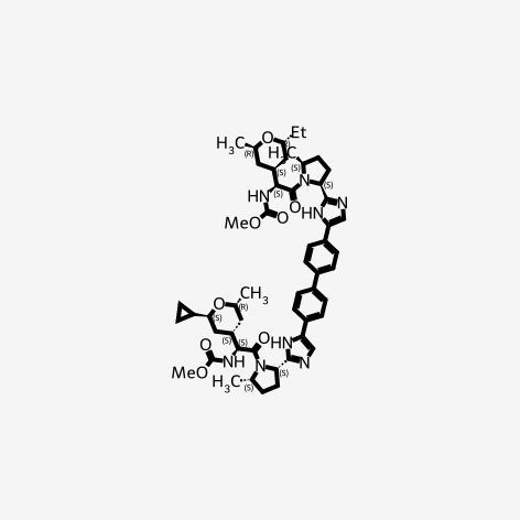 CC[C@@H]1C[C@@H]([C@H](NC(=O)OC)C(=O)N2[C@@H](C)CC[C@H]2c2ncc(-c3ccc(-c4ccc(-c5cnc([C@@H]6CC[C@H](C)N6C(=O)[C@@H](NC(=O)OC)[C@H]6C[C@@H](C)O[C@H](C7CC7)C6)[nH]5)cc4)cc3)[nH]2)C[C@@H](C)O1